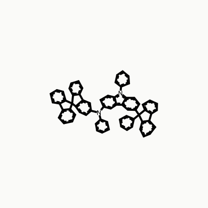 c1ccc(N(c2ccc3c(c2)-c2ccccc2C32c3ccccc3-c3ccccc32)c2ccc3c(c2)c2cc(C4(c5ccccc5)c5ccccc5-c5ccccc54)ccc2n3-c2ccccc2)cc1